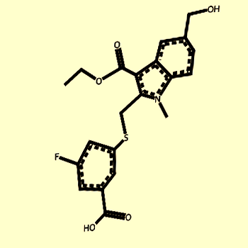 CCOC(=O)c1c(CSc2cc(F)cc(C(=O)O)c2)n(C)c2ccc(CO)cc12